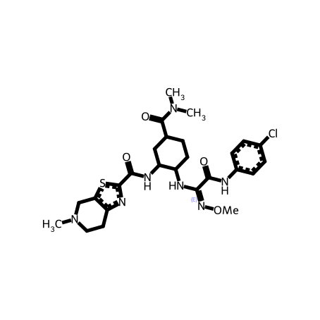 CO/N=C(/NC1CCC(C(=O)N(C)C)CC1NC(=O)c1nc2c(s1)CN(C)CC2)C(=O)Nc1ccc(Cl)cc1